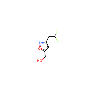 OCc1cc(CC(F)F)no1